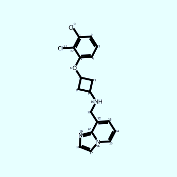 Clc1cccc(OC2CC(NCc3cccn4ccnc34)C2)c1Cl